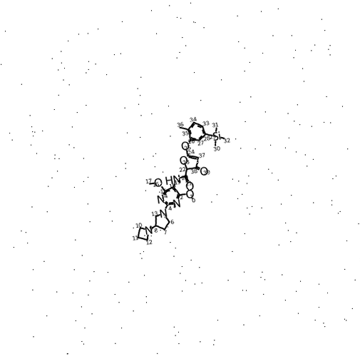 COc1nc(N2CCC(N3CCC3)C2)nc(OC)c1NC(=O)C1OC(Oc2cc([Si](C)(C)C)ccc2C)=CC1=O